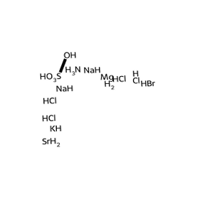 Br.Cl.Cl.Cl.Cl.N.O=S(=O)(O)O.[KH].[MgH2].[NaH].[NaH].[SrH2]